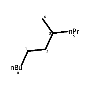 C[CH]CCCCC(C)CCC